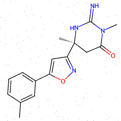 Cc1cccc(-c2cc([C@]3(C)CC(=O)N(C)C(=N)N3)no2)c1